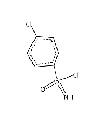 N=S(=O)(Cl)c1ccc(Cl)cc1